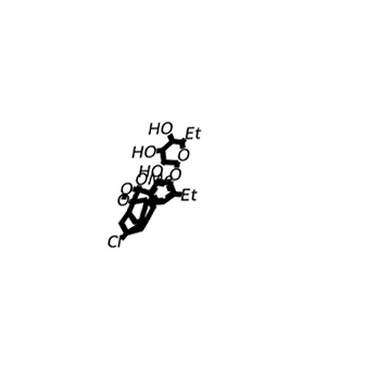 CCc1ccc(C2(OC)OOC23C2CC4CC3CC(Cl)(C4)C2)cc1OC1OC(CC)C(O)C(O)C1O